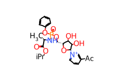 CC(=O)c1ccc[n+]([C@@H]2O[C@H](COP(=O)(N[C@@H](C)C(=O)OC(C)C)Oc3ccccc3)[C@@H](O)[C@H]2O)c1